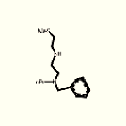 CCCN(CCNCCSC)Cc1ccccc1